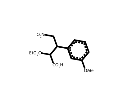 CCOC(=O)C(C(=O)O)C(C[N+](=O)[O-])c1cccc(OC)c1